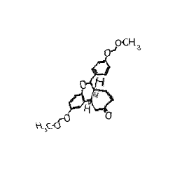 COCOc1ccc(C2Oc3ccc(OCOC)cc3[C@H]3CC(=O)CC[C@@H]23)cc1